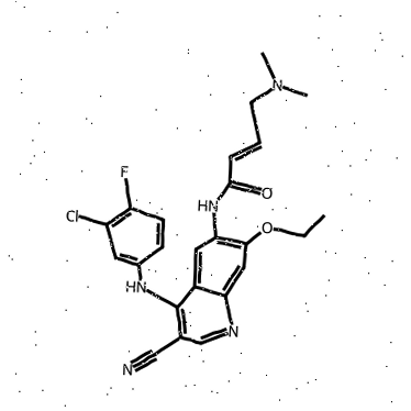 CCOc1cc2ncc(C#N)c(Nc3ccc(F)c(Cl)c3)c2cc1NC(=O)C=CCN(C)C